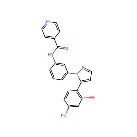 O=C(Nc1cccc(-n2nccc2-c2ccc(O)cc2O)c1)c1ccncc1